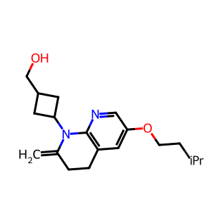 C=C1CCc2cc(OCCC(C)C)cnc2N1C1CC(CO)C1